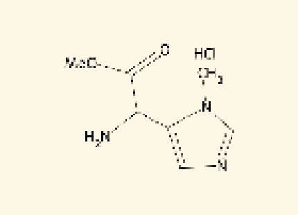 COC(=O)C(N)c1cncn1C.Cl